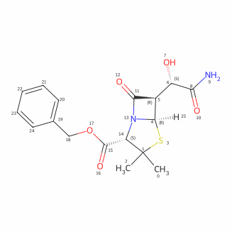 CC1(C)S[C@@H]2[C@H]([C@H](O)C(N)=O)C(=O)N2[C@H]1C(=O)OCc1ccccc1